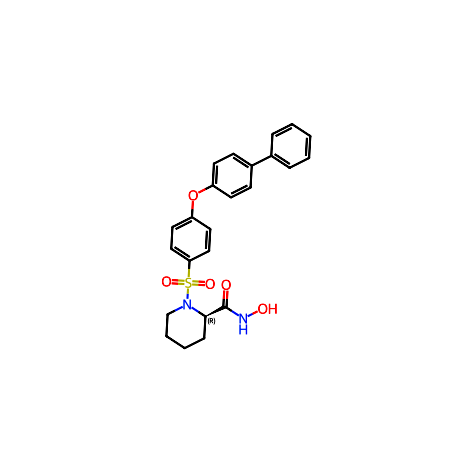 O=C(NO)[C@H]1CCCCN1S(=O)(=O)c1ccc(Oc2ccc(-c3ccccc3)cc2)cc1